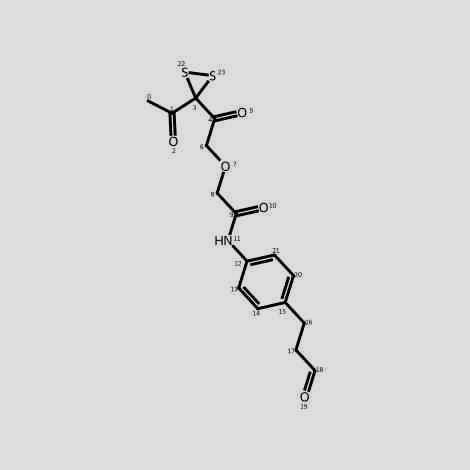 CC(=O)C1(C(=O)COCC(=O)Nc2ccc(CCC=O)cc2)SS1